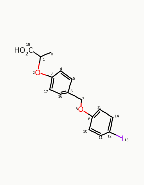 CC(Oc1ccc(COc2ccc(I)cc2)cc1)C(=O)O